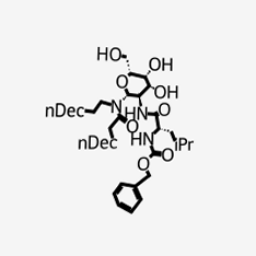 CCCCCCCCCCCCN(C(=O)CCCCCCCCCCC)[C@@H]1O[C@H](CO)[C@H](O)[C@H](O)[C@H]1NC(=O)[C@H](CC(C)C)NC(=O)OCc1ccccc1